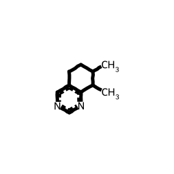 CC1CCc2cncnc2C1C